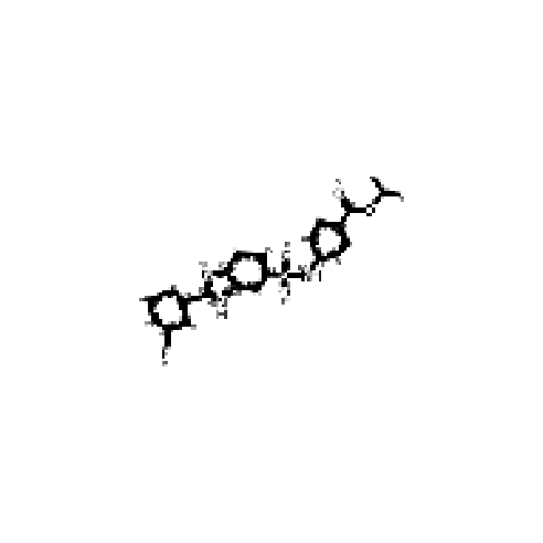 CC(C)OC(=O)c1ccc(NS(=O)(=O)c2ccc3nc(-c4cccc(F)c4)[nH]c3c2)cc1